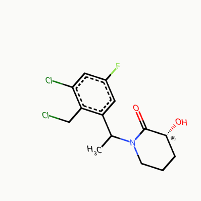 CC(c1cc(F)cc(Cl)c1CCl)N1CCC[C@@H](O)C1=O